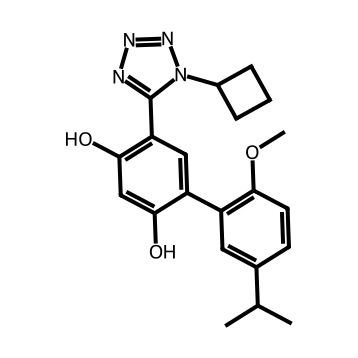 COc1ccc(C(C)C)cc1-c1cc(-c2nnnn2C2CCC2)c(O)cc1O